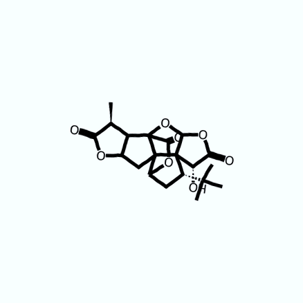 C[C@@H]1C(=O)OC2CC34C5C[C@@H](C(C)(C)C)C36C(OC(=O)[C@@H]6O)OC4(C(=O)O5)C21